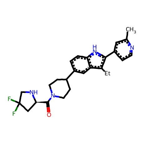 CCc1c(-c2ccnc(C)c2)[nH]c2ccc(C3CCN(C(=O)[C@H]4CC(F)(F)CN4)CC3)cc12